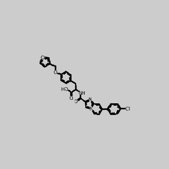 O=C(NC(Cc1ccc(OCc2ccoc2)cc1)C(=O)O)c1cn2ccc(-c3ccc(Cl)cc3)cc2n1